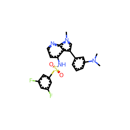 CN(C)c1cccc(-c2cn(C)c3nccc(NS(=O)(=O)c4cc(F)cc(F)c4)c23)c1